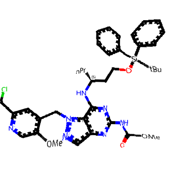 CCC[C@@H](CCO[Si](c1ccccc1)(c1ccccc1)C(C)(C)C)Nc1nc(NC(=O)OC)nc2cnn(Cc3cc(CCl)ncc3OC)c12